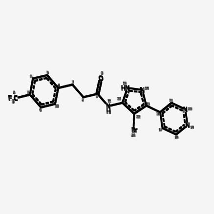 O=C(CCc1ccc(C(F)(F)F)cc1)Nc1[nH]nc(-c2ccnnc2)c1Br